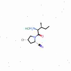 CC[C@H](C)[C@H](N)C(=O)N1C[C@@H](Cl)C[C@H]1C#N.Cl